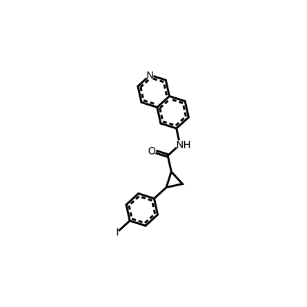 O=C(Nc1ccc2cnccc2c1)C1CC1c1ccc(I)cc1